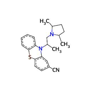 CC(CN1C(C)CCC1C)N1c2ccccc2Sc2ccc(C#N)cc21